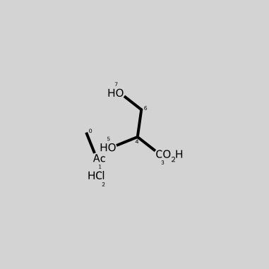 CC(C)=O.Cl.O=C(O)C(O)CO